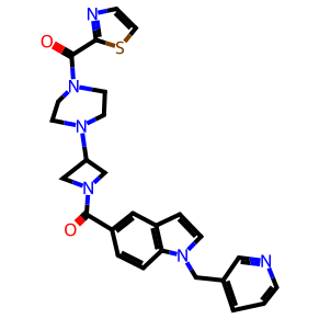 O=C(c1ccc2c(ccn2Cc2cccnc2)c1)N1CC(N2CCN(C(=O)c3nccs3)CC2)C1